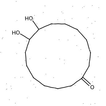 O=C1CCCCCCC(O)C(O)CCCCCC1